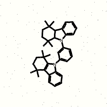 CC1(C)CCC(C)(C)c2c1c1ccccc1n2-c1cccc(N2c3ccccc3C3C2C(C)(C)CCC3(C)C)c1